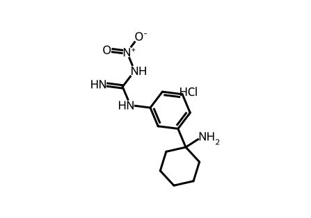 Cl.N=C(Nc1cccc(C2(N)CCCCC2)c1)N[N+](=O)[O-]